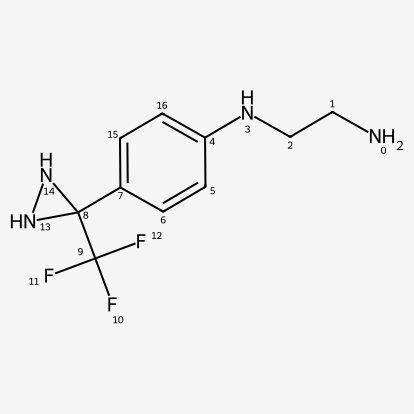 NCCNc1ccc(C2(C(F)(F)F)NN2)cc1